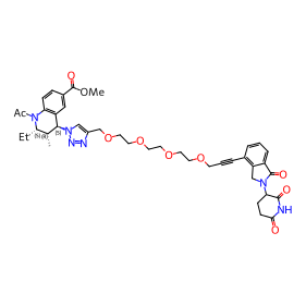 CC[C@H]1[C@@H](C)[C@H](n2cc(COCCOCCOCCOCC#Cc3cccc4c3CN(C3CCC(=O)NC3=O)C4=O)nn2)c2cc(C(=O)OC)ccc2N1C(C)=O